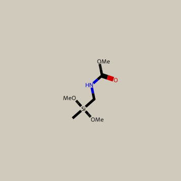 COC(=O)NC[Si](C)(OC)OC